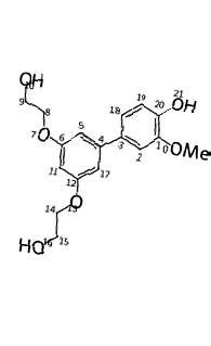 COc1cc(-c2cc(OCCO)cc(OCCO)c2)ccc1O